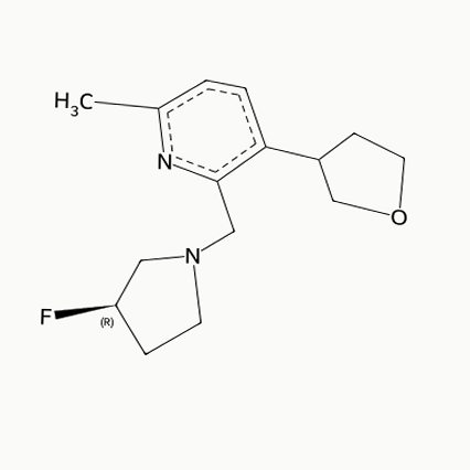 Cc1ccc(C2CCOC2)c(CN2CC[C@@H](F)C2)n1